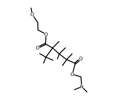 COCCOC(=O)C(C)(C(C)(C)C)C(C)(C)C(C)(C)C(=O)OCN(C)C